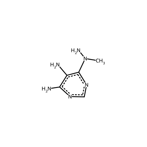 CN(N)c1ncnc(N)c1N